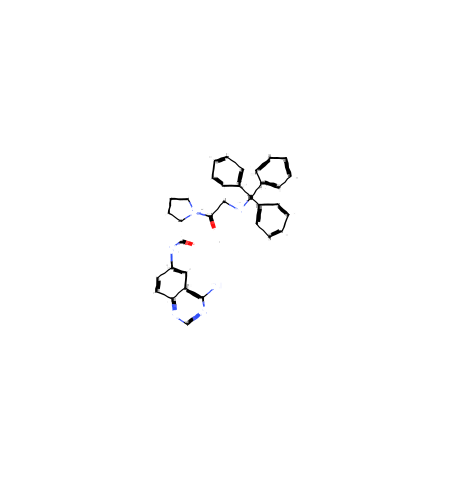 Nc1ncnc2ccc(NC(=O)[C@@H]3CCCN3C(=O)CNC(c3ccccc3)(c3ccccc3)c3ccccc3)cc12